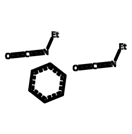 CCN=C=O.CCN=C=O.c1ccccc1